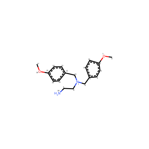 COc1ccc(CN(CCN)Cc2ccc(OC)cc2)cc1